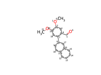 COc1cc(C=O)c(-c2ccc3ccccc3c2)cc1OC